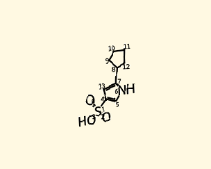 O=S(=O)(O)c1c[nH]c(C2CCCC2)c1